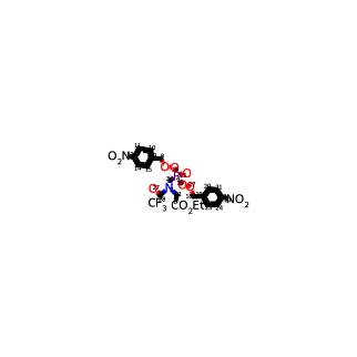 CCOC(=O)CN(CP(=O)(OOCc1ccc([N+](=O)[O-])cc1)OOCc1ccc([N+](=O)[O-])cc1)C(=O)C(F)(F)F